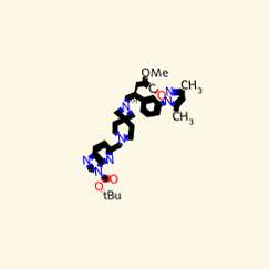 COC(=C=O)C[C@H](CN1CC2(CCN(Cc3ccc4ncn(C(=O)OC(C)(C)C)c4n3)CC2)C1)c1cccc(-n2nc(C)cc2C)c1